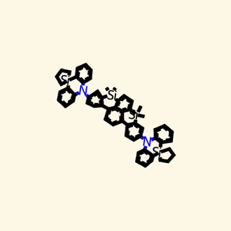 C[Si]1(C)c2cc(N3c4ccccc4[Si]4(CCCC4)c4ccccc43)ccc2-c2ccc3c4c(ccc1c24)[Si](C)(C)c1cc(N2c4ccccc4[Si]4(CCCC4)c4ccccc42)ccc1-3